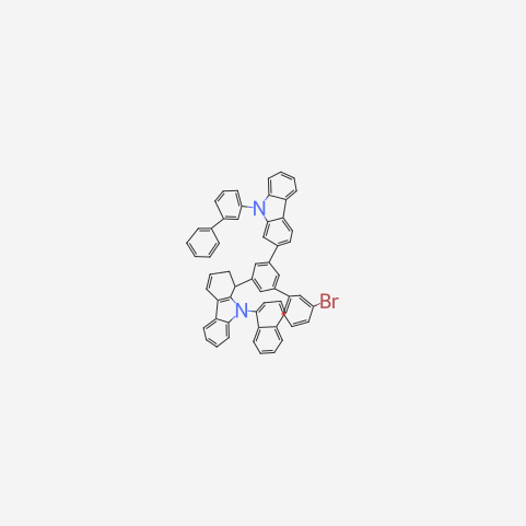 Brc1cccc(-c2cc(-c3ccc4c5ccccc5n(-c5cccc(-c6ccccc6)c5)c4c3)cc(C3CC=Cc4c3n(-c3cccc5ccccc35)c3ccccc43)c2)c1